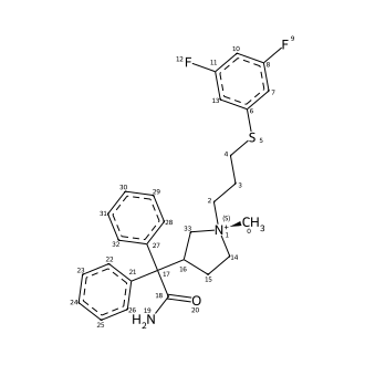 C[N@@+]1(CCCSc2cc(F)cc(F)c2)CCC(C(C(N)=O)(c2ccccc2)c2ccccc2)C1